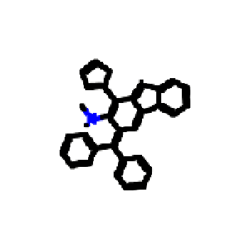 CN(C)c1c(C2=CC=CC2)c2c(cc1=C(c1ccccc1)c1ccccc1)-c1ccccc1[C]=2